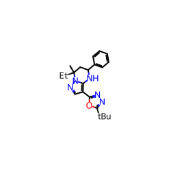 CCC1(C)CC(c2ccccc2)Nc2c(-c3nnc(C(C)(C)C)o3)cnn21